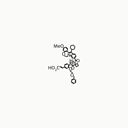 COc1ccc2c(c1)OCCn1c-2c(C2CCCCC2)c2ccc(C(=O)NC3(C(=O)Nc4ccc(C=CC(=O)O)cc4OCCOCc4ccccc4)CCC3)cc21